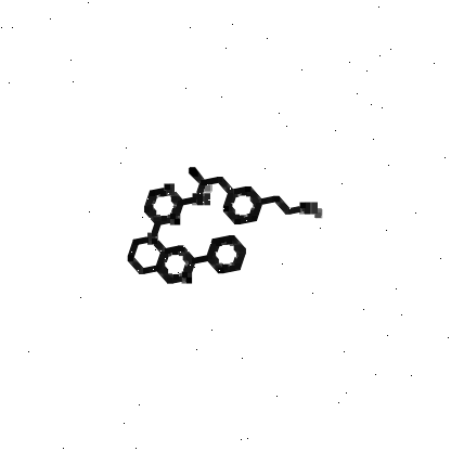 C[C@@H](Cc1cccc(CCN)c1)Nc1nccc(N2CCCc3cnc(-c4ccccc4)cc32)n1